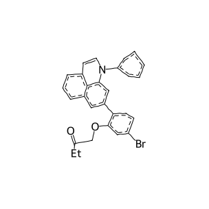 CCC(=O)COc1cc(Br)ccc1-c1cc2c3c(cccc3c1)C=CN2c1ccccc1